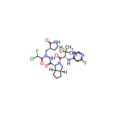 CC(C)(C)[C@H](Nc1cc(F)ncn1)C(=O)N1C[C@@H]2CCC[C@@H]2[C@H]1C(=O)NN(C[C@@H]1CCNC1=O)C(=O)[C@H](F)Cl